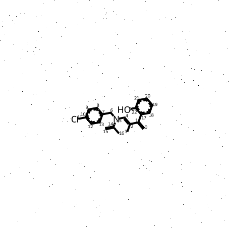 C=C(/C(C)=C/N(Cc1ccc(Cl)cc1)C(=C)C)c1ccccc1O